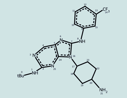 CC(C)(C)Nc1ncc2nc(Nc3cccc(C(F)(F)F)c3)n(C3CCC(N)CC3)c2n1